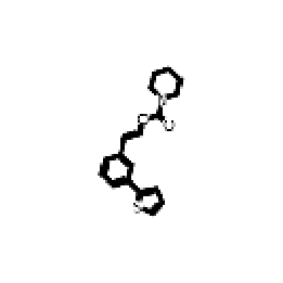 O=C(OC=Cc1cccc(-c2cccs2)c1)N1CCCCC1